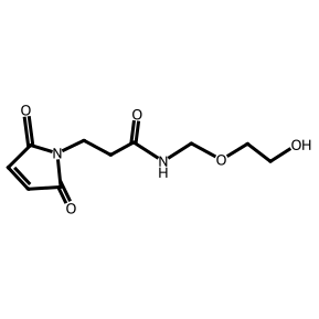 O=C(CCN1C(=O)C=CC1=O)NCOCCO